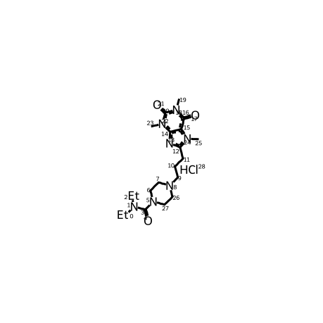 CCN(CC)C(=O)N1CCN(CCCc2nc3c(c(=O)n(C)c(=O)n3C)n2C)CC1.Cl